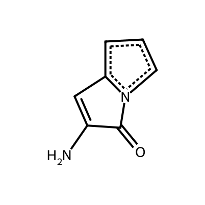 NC1=Cc2cccn2C1=O